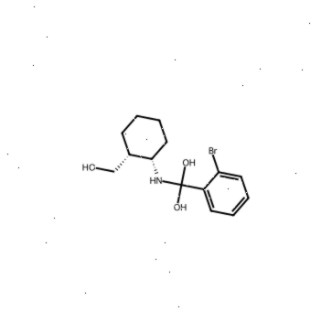 OC[C@@H]1CCCC[C@@H]1NC(O)(O)c1ccccc1Br